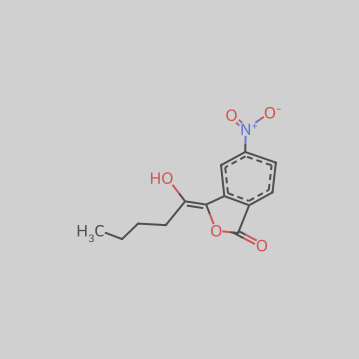 CCCCC(O)=C1OC(=O)c2ccc([N+](=O)[O-])cc21